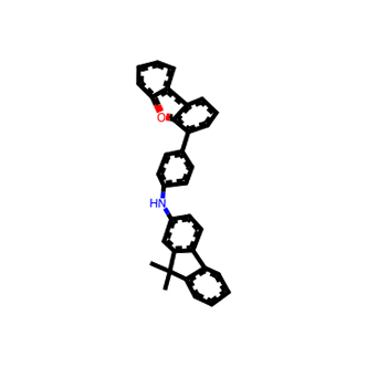 CC1(C)c2ccccc2-c2ccc(Nc3ccc(-c4cccc5c4oc4ccccc45)cc3)cc21